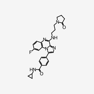 O=C(NC1CC1)c1ccc(-c2cnc3c(NCCCN4CCCC4=O)nc4ccc(F)cc4n23)cc1